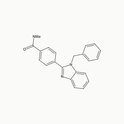 CNC(=O)c1ccc(-c2nc3ccccc3n2Cc2ccccc2)cc1